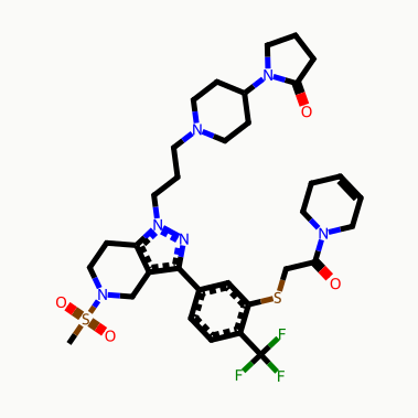 CS(=O)(=O)N1CCc2c(c(-c3ccc(C(F)(F)F)c(SCC(=O)N4CC=CCC4)c3)nn2CCCN2CCC(N3CCCC3=O)CC2)C1